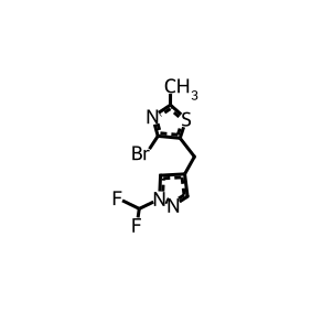 Cc1nc(Br)c(Cc2cnn(C(F)F)c2)s1